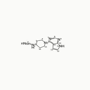 CCCCCCCCCNC1CCN(c2ncnc3[nH]ccc23)CC1